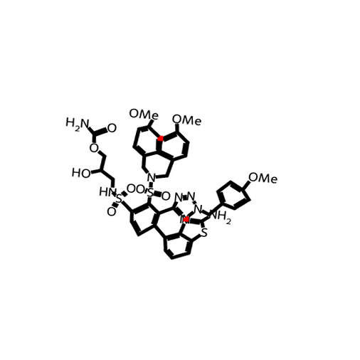 COc1ccc(CN(Cc2ccc(OC)cc2)S(=O)(=O)c2c(S(=O)(=O)NCC(O)COC(N)=O)ccc(-c3cccc4sc(N)nc34)c2-c2nnn(Cc3ccc(OC)cc3)n2)cc1